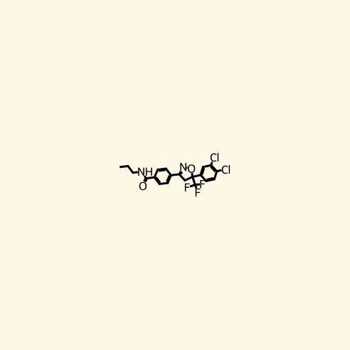 CCCNC(=O)c1ccc(C2=NOC(c3ccc(Cl)c(Cl)c3)(C(F)(F)F)C2)cc1